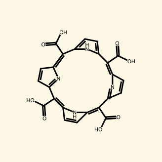 O=C(O)c1c2nc(c(C(=O)O)c3ccc([nH]3)c(C(=O)O)c3nc(c(C(=O)O)c4ccc1[nH]4)C=C3)C=C2